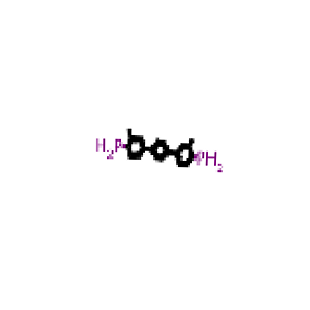 Cc1cc(-c2ccc(-c3ccc(P)c(C)c3)cc2)ccc1P